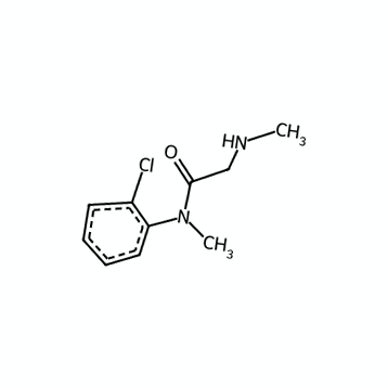 CNCC(=O)N(C)c1ccccc1Cl